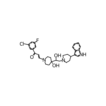 O=C(C=CN1CCC(O)(C(O)CN2CCC(c3c[nH]c4ccccc34)CC2)CC1)c1cc(F)cc(Cl)c1